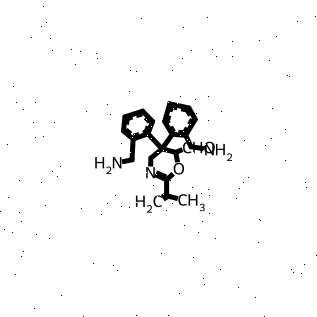 C=C(C)C1=NCC(c2ccccc2CN)(c2ccccc2CN)C(C=O)O1